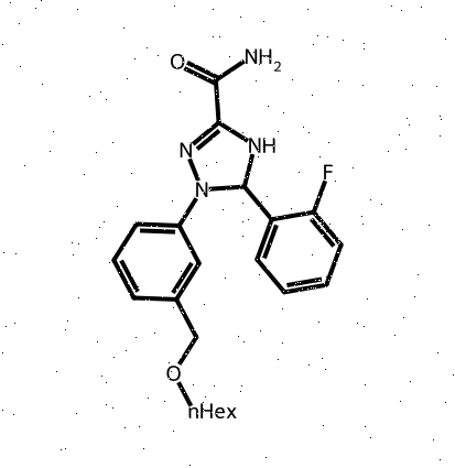 CCCCCCOCc1cccc(N2N=C(C(N)=O)NC2c2ccccc2F)c1